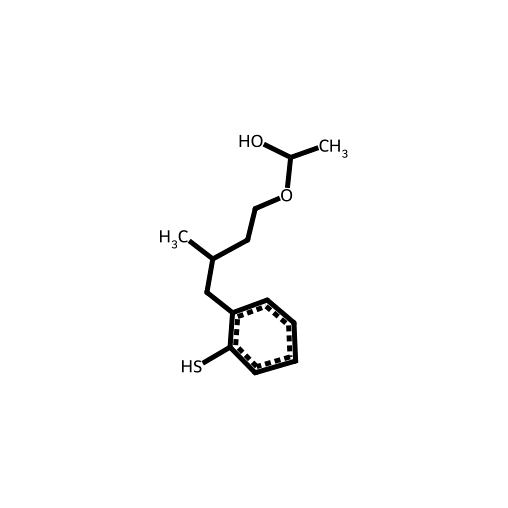 CC(CCOC(C)O)Cc1ccccc1S